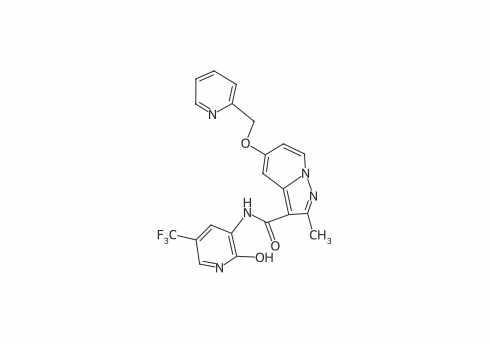 Cc1nn2ccc(OCc3ccccn3)cc2c1C(=O)Nc1cc(C(F)(F)F)cnc1O